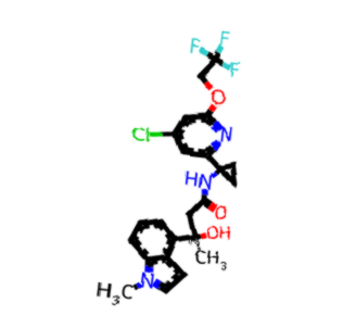 Cn1ccc2c([C@](C)(O)CC(=O)NC3(c4cc(Cl)cc(OCC(F)(F)F)n4)CC3)cccc21